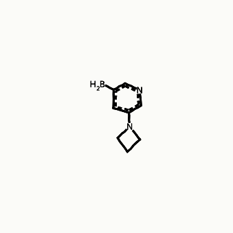 Bc1cncc(N2CCC2)c1